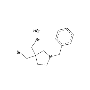 Br.BrCC1(CBr)CCN(Cc2ccccc2)C1